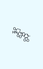 Cc1cc2c(c3c1OCO3)C(=O)N(C1CCC(=O)NC1=O)C2